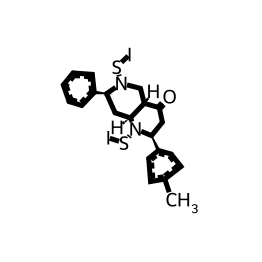 Cc1ccc([C@@H]2CC(=O)[C@@H]3CN(SI)[C@H](c4ccccc4)C[C@@H]3N2SI)cc1